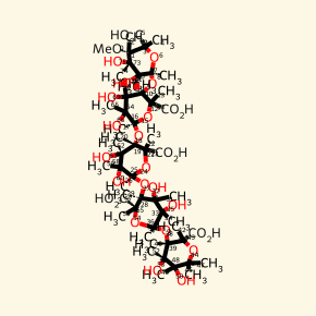 CO[C@]1(C)C(C)(C(=O)O)O[C@@](C)(O[C@]2(C)C(C)(C(=O)O)O[C@@](C)(O[C@]3(C)C(C)(C(=O)O)O[C@@](C)(O[C@@]4(C)C(C)(O)C(C)(O)[C@](C)(O[C@]5(C)C(C)(C(=O)O)OC(C)(C)C(C)(O)[C@]5(C)O)O[C@@]4(C)C(=O)O)C(C)(O)[C@@]3(C)O)C(C)(O)C2(C)O)C(C)(O)[C@]1(C)O